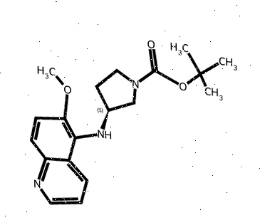 COc1ccc2ncccc2c1N[C@H]1CCN(C(=O)OC(C)(C)C)C1